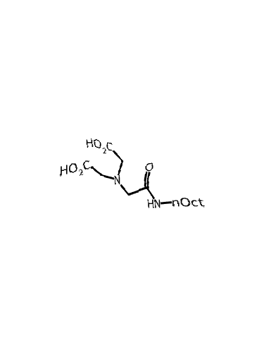 CCCCCCCCNC(=O)CN(CC(=O)O)CC(=O)O